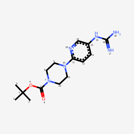 CC(C)(C)OC(=O)N1CCN(c2ccc(NC(=N)N)cn2)CC1